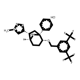 Cl.Cn1cc([C@@H]2C[C@]3(c4ccccc4)N[C@H]2CC[C@H]3OCc2cc(C(F)(F)F)cc(C(F)(F)F)c2)nn1